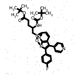 CC(C)(C)OC(=O)CCC(CN1On2c(-c3ccc(F)cc3)c(-c3ccncc3)c3ccc1nc32)NC(=O)OC(C)(C)C